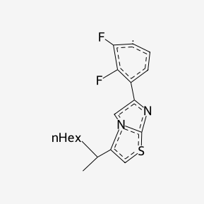 CCCCCCC(C)c1csc2nc(-c3cc[c]c(F)c3F)cn12